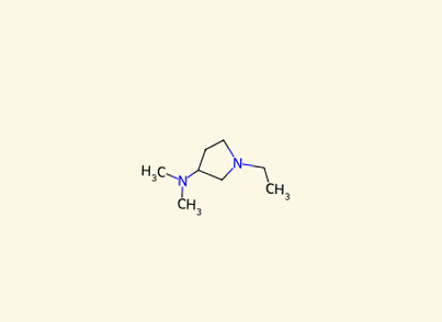 CCN1CCC(N(C)C)C1